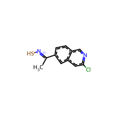 C/C(=N\S)c1ccc2cnc(Cl)cc2c1